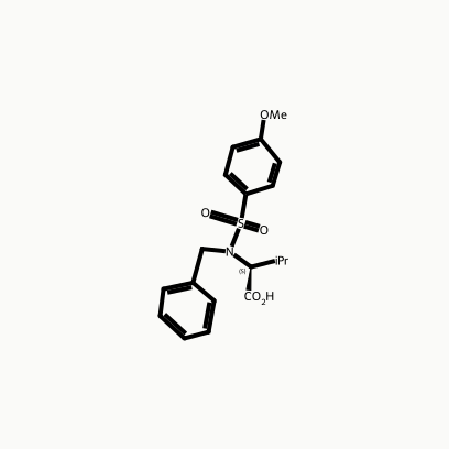 COc1ccc(S(=O)(=O)N(Cc2ccccc2)[C@H](C(=O)O)C(C)C)cc1